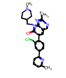 Cc1cccc(-c2ccc(-c3cc4cnc(C)nc4n(CC4CCN(C)CC4)c3=O)c(Cl)c2)n1